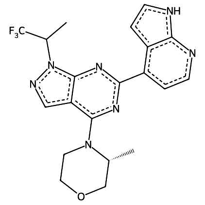 CC(n1ncc2c(N3CCOC[C@H]3C)nc(-c3ccnc4[nH]ccc34)nc21)C(F)(F)F